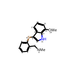 CNCc1ccccc1Sc1c[nH]c2c(OC)cccc12